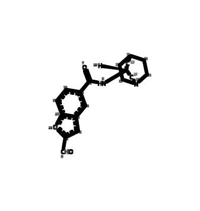 O=Cc1cc2cc(C(=O)N[C@@H]3CC4CCN(CC4)C3)ccc2o1